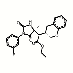 CCOC(=O)[C@H]([C@H]1COc2ccccc2C1)[C@]1(C)NC(=O)N(c2cccc(F)c2)C1=O